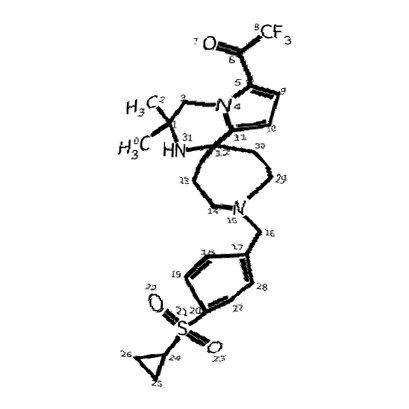 CC1(C)Cn2c(C(=O)C(F)(F)F)ccc2C2(CCN(Cc3ccc(S(=O)(=O)C4CC4)cc3)CC2)N1